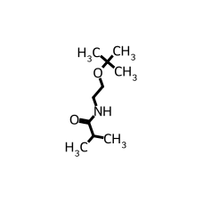 CC(C)C(=O)NCCOC(C)(C)C